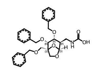 O=C(O)NC[C@H]1[C@H]2OC[C@](COCc3ccccc3)(O2)[C@H](OCc2ccccc2)[C@@H]1OCc1ccccc1